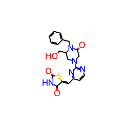 O=C1NC(=O)C(=Cc2ccnc(N3CC(=O)N(Cc4ccccc4)C(CO)C3)n2)S1